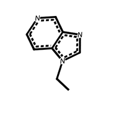 CCn1cnc2cnccc21